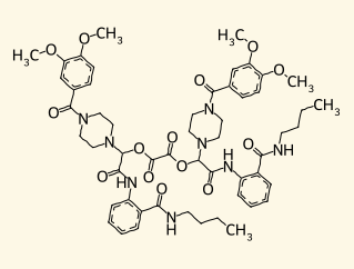 CCCCNC(=O)c1ccccc1NC(=O)C(OC(=O)C(=O)OC(C(=O)Nc1ccccc1C(=O)NCCCC)N1CCN(C(=O)c2ccc(OC)c(OC)c2)CC1)N1CCN(C(=O)c2ccc(OC)c(OC)c2)CC1